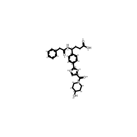 O=C(O)CCC(NC(=O)Cc1ccccc1)c1ccc(-c2nc(C(=O)N3CCC(O)CC3)co2)cc1